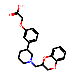 O=C(O)COc1cccc(C2CCCN(CC3COc4ccccc4O3)C2)c1